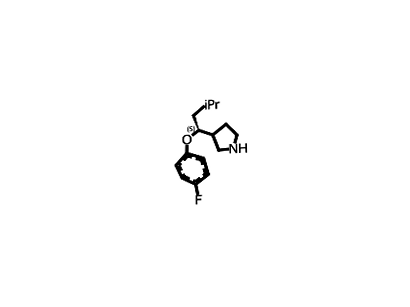 CC(C)C[C@H](Oc1ccc(F)cc1)C1CCNC1